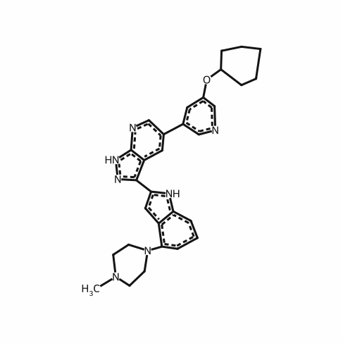 CN1CCN(c2cccc3[nH]c(-c4n[nH]c5ncc(-c6cncc(OC7CCCCC7)c6)cc45)cc23)CC1